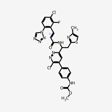 COC(=O)Nc1ccc(-c2cc(C(Cc3nc(C)cs3)NC(=O)/C=C/c3c(-n4cnnn4)ccc(Cl)c3F)nnc2Cl)cc1